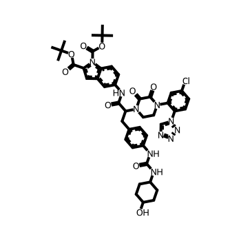 CC(C)(C)OC(=O)c1cc2cc(NC(=O)C(Cc3ccc(NC(=O)NC4CCC(O)CC4)cc3)N3CCN(c4cc(Cl)ccc4-n4cnnn4)C(=O)C3=O)ccc2n1C(=O)OC(C)(C)C